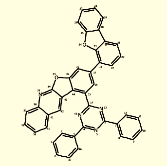 c1ccc(-c2nc(-c3ccccc3)nc(-c3cc(-c4cccc5c4oc4ccccc45)cc4oc5nc6ccccc6cc5c34)n2)cc1